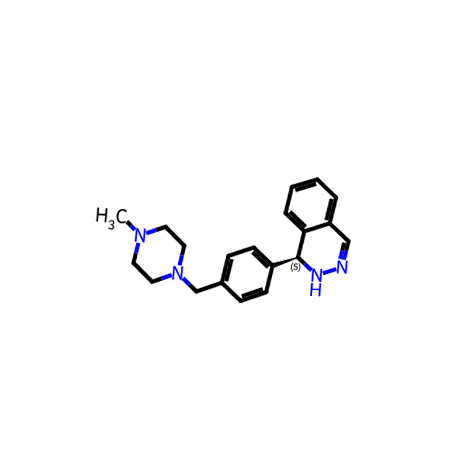 CN1CCN(Cc2ccc([C@@H]3NN=Cc4ccccc43)cc2)CC1